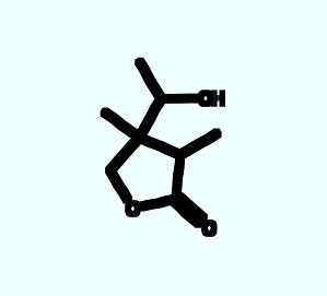 CC(O)C1(C)COC(=O)C1C